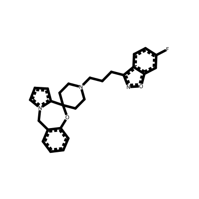 Fc1ccc2c(CCCN3CCC4(CC3)Oc3ccccc3Cn3cccc34)noc2c1